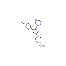 COC1CCN(c2cc(-c3ccc(C#N)cn3)n(-c3cccnc3)n2)CC1